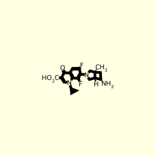 C[C@]12C[C@H](N)[C@@H]1CN(c1c(F)cc3c(=O)c(C(=O)O)cn(C4CC4)c3c1F)C2